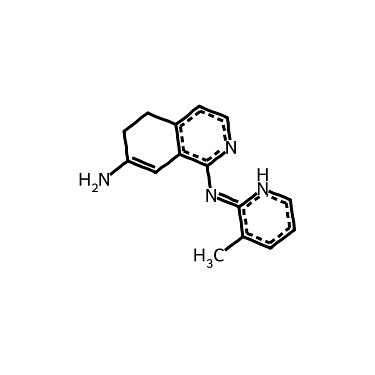 Cc1ccc[nH]/c1=N\c1nccc2c1C=C(N)CC2